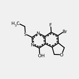 CCSc1nc(O)c2c3c(c(Br)c(F)c2n1)COC3